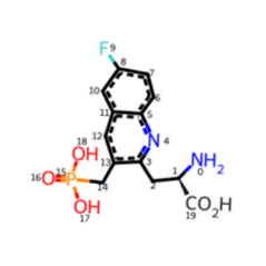 N[C@H](Cc1nc2ccc(F)cc2cc1CP(=O)(O)O)C(=O)O